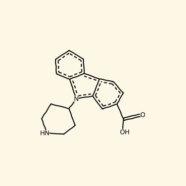 O=C(O)c1ccc2c3ccccc3n(C3CCNCC3)c2c1